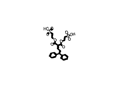 O=C(OCCS(=O)(=O)O)C(=CC=C(c1ccccc1)c1ccccc1)C(=O)OCCS(=O)(=O)O